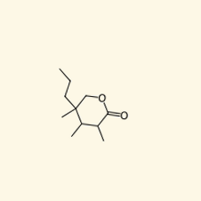 CCCC1(C)COC(=O)C(C)C1C